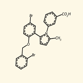 Cc1ccc(-c2cc(Br)ccc2OCc2ccccc2Br)n1-c1cccc(C(=O)O)c1